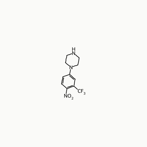 O=[N+]([O-])c1ccc(N2CCNCC2)cc1C(F)(F)F